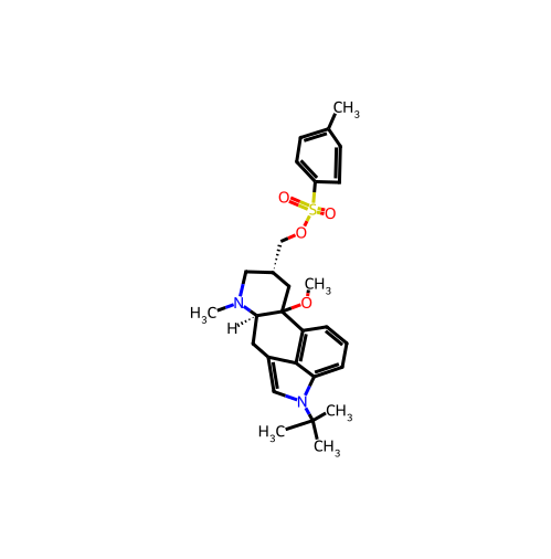 COC12C[C@@H](COS(=O)(=O)c3ccc(C)cc3)CN(C)[C@@H]1Cc1cn(C(C)(C)C)c3cccc2c13